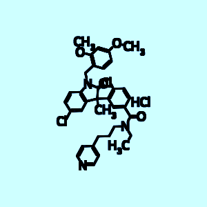 CCN(CCCc1ccncc1)C(=O)c1ccc(Cl)c(C2(C)C(=O)N(Cc3ccc(OC)cc3OC)c3ccc(Cl)cc32)c1.Cl